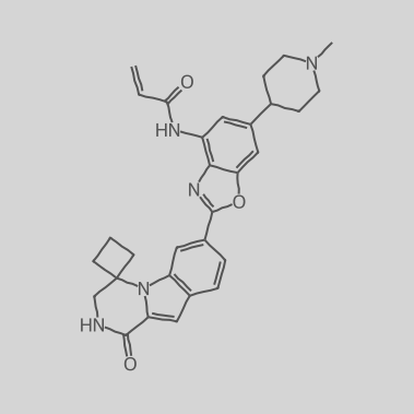 C=CC(=O)Nc1cc(C2CCN(C)CC2)cc2oc(-c3ccc4cc5n(c4c3)C3(CCC3)CNC5=O)nc12